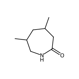 CC1CNC(=O)CC(C)C1